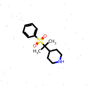 CC(C)(C1CCNCC1)S(=O)(=O)c1ccccc1